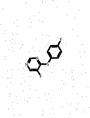 Fc1ccc(Sc2n[c]ncc2F)cc1